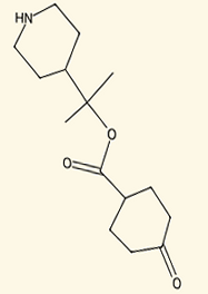 CC(C)(OC(=O)C1CCC(=O)CC1)C1CCNCC1